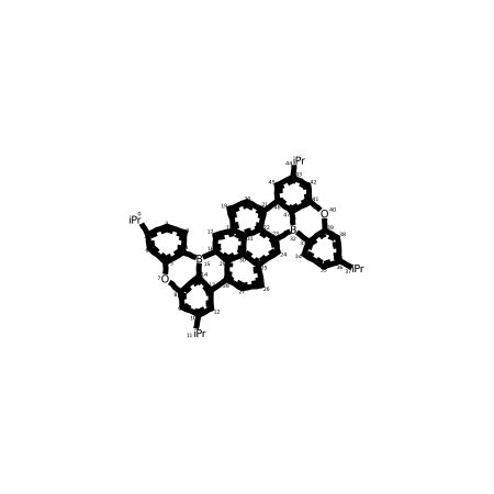 CC(C)c1ccc2c(c1)Oc1cc(C(C)C)cc3c1B2c1cc2ccc4c5c(cc6ccc-3c1c6c25)B1c2ccc(C(C)C)cc2Oc2cc(C(C)C)cc-4c21